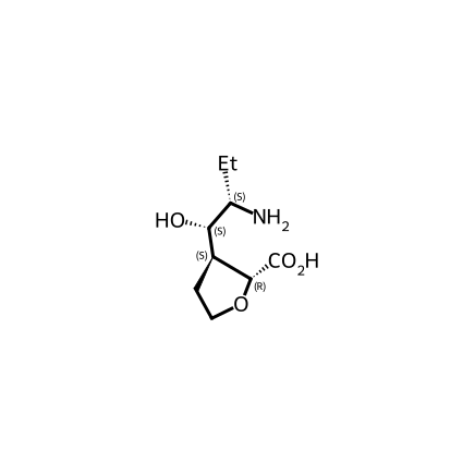 CC[C@H](N)[C@@H](O)[C@@H]1CCO[C@H]1C(=O)O